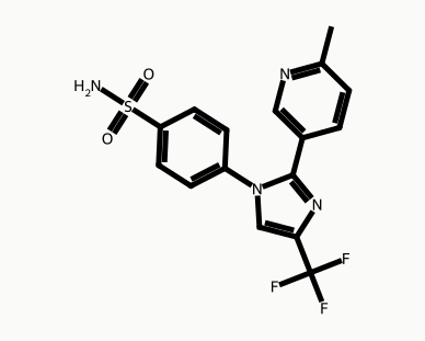 Cc1ccc(-c2nc(C(F)(F)F)cn2-c2ccc(S(N)(=O)=O)cc2)cn1